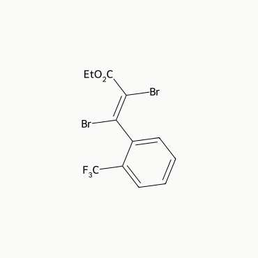 CCOC(=O)C(Br)=C(Br)c1ccccc1C(F)(F)F